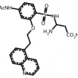 CC(=O)Nc1ccc(S(=O)(=O)NC(N)CC(=O)O)c(OCCc2cccc3ncccc23)c1